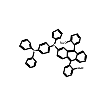 COc1ccccc1-c1c2ccccc2c(-c2ccccc2OC)c2cc(N(c3ccccc3)c3ccc(N(c4ccccc4)c4ccccc4)cc3)ccc12